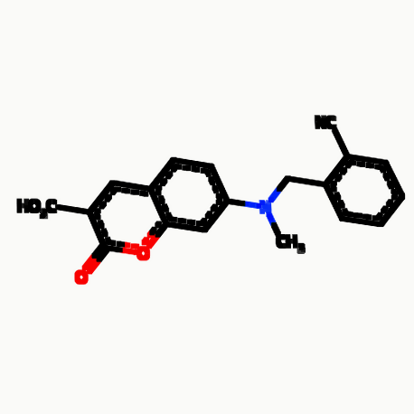 CN(Cc1ccccc1C#N)c1ccc2cc(C(=O)O)c(=O)oc2c1